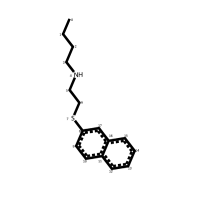 CCCCNCCSc1ccc2ccccc2c1